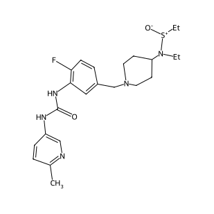 CCN(C1CCN(Cc2ccc(F)c(NC(=O)Nc3ccc(C)nc3)c2)CC1)[S+]([O-])CC